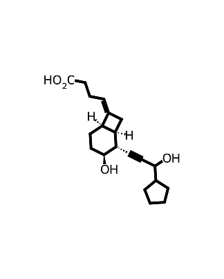 O=C(O)CC/C=C1/C[C@H]2[C@H](C#CC(O)C3CCCC3)[C@@H](O)CC[C@@H]12